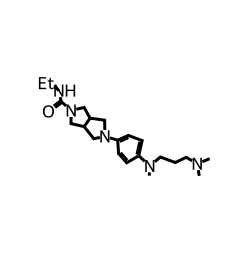 CCNC(=O)N1CC2CN(c3ccc(N(C)CCCN(C)C)cc3)CC2C1